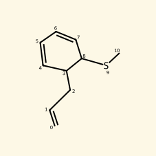 C=CCC1C=CC=CC1SC